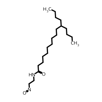 CCCCC(CCCC)CCCCCCCCCC(=O)NCCN=O